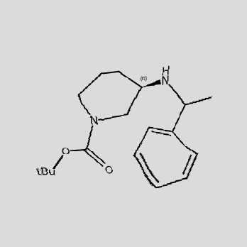 CC(N[C@@H]1CCCN(C(=O)OC(C)(C)C)C1)c1ccccc1